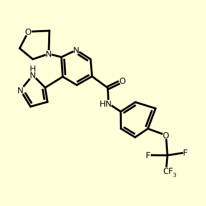 O=C(Nc1ccc(OC(F)(F)C(F)(F)F)cc1)c1cnc(N2CCOC2)c(-c2ccn[nH]2)c1